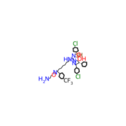 NCCO/N=C(/CCCCCCN/C(=N/[SH](=O)(CO)c1ccc(Cl)cc1)N1C[C@H](c2ccccc2)C(c2ccc(Cl)cc2)=N1)c1ccc(C(F)(F)F)cc1